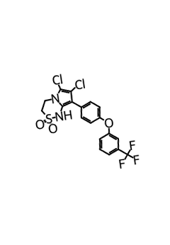 O=S1(=O)CCn2c(Cl)c(Cl)c(-c3ccc(Oc4cccc(C(F)(F)F)c4)cc3)c2N1